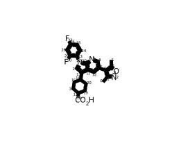 Cc1noc(C)c1-c1cnc2c(c1)c(C1CCC(C(=O)O)CC1)cn2-c1ccc(F)cc1F